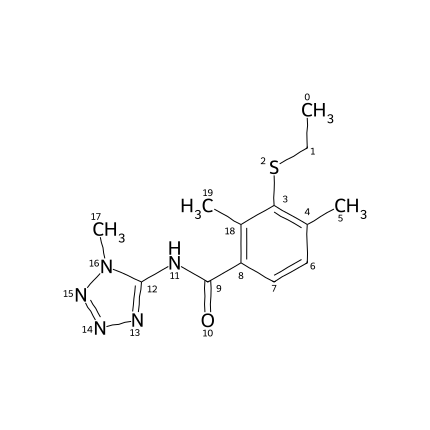 CCSc1c(C)ccc(C(=O)Nc2nnnn2C)c1C